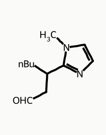 CCCCC(CC=O)c1nccn1C